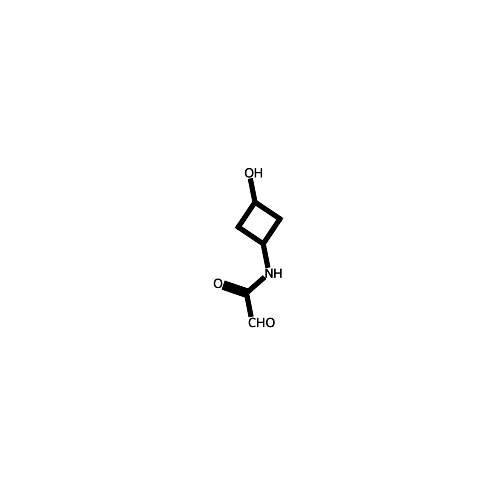 O=CC(=O)NC1CC(O)C1